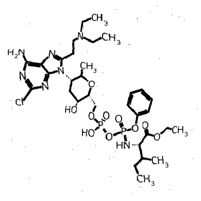 CCOC(=O)[C@@H](NP(=O)(Oc1ccccc1)OP(=O)(O)OC[C@H]1OC(C)[C@@H](n2c(CCN(CC)CC)nc3c(N)nc(Cl)nc32)C[C@H]1O)C(C)CC